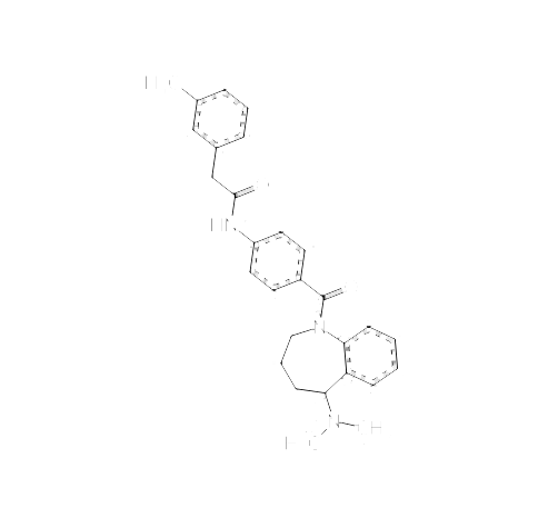 Cc1cccc(CC(=O)Nc2ccc(C(=O)N3CCCC(N(C)C)c4ccccc43)cc2)c1